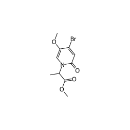 COC(=O)C(C)n1cc(OC)c(Br)cc1=O